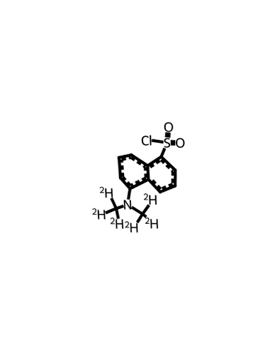 [2H]C([2H])([2H])N(c1cccc2c(S(=O)(=O)Cl)cccc12)C([2H])([2H])[2H]